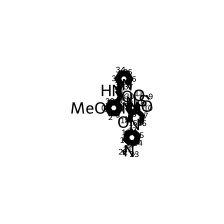 COc1ccc(-n2nc(S(C)(=O)=O)c3c2C(=O)N(c2ccc(N(C)C)cc2)CC3)c(C(=O)Nc2ccccn2)c1